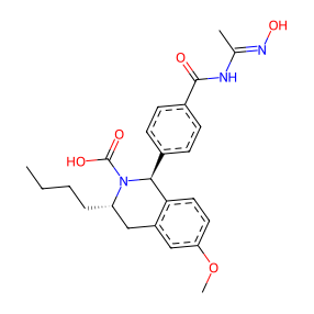 CCCC[C@H]1Cc2cc(OC)ccc2[C@H](c2ccc(C(=O)N/C(C)=N/O)cc2)N1C(=O)O